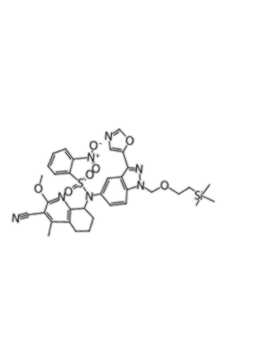 COc1nc2c(c(C)c1C#N)CCCC2N(c1ccc2c(c1)c(-c1cnco1)nn2COCC[Si](C)(C)C)S(=O)(=O)c1ccccc1[N+](=O)[O-]